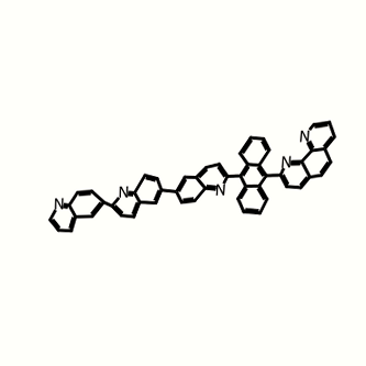 c1cnc2ccc(-c3ccc4cc(-c5ccc6nc(-c7c8ccccc8c(-c8ccc9ccc%10cccnc%10c9n8)c8ccccc78)ccc6c5)ccc4n3)cc2c1